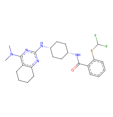 CN(C)c1nc(N[C@H]2CC[C@@H](NC(=O)c3ccccc3SC(F)F)CC2)nc2c1CCCC2